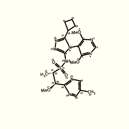 COc1ncnc(OC)c1-n1c(NS(=O)(=O)[C@@H](C)[C@H](OC)c2ncc(C)cn2)nnc1C1CCC1